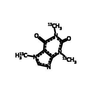 [13CH3]n1c(=O)c2c(ncn2[13CH3])n([13CH3])c1=O